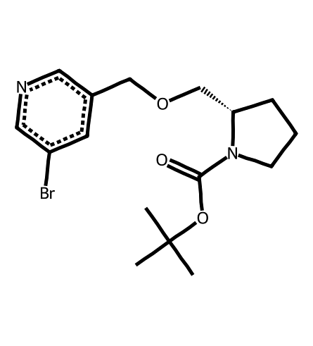 CC(C)(C)OC(=O)N1CCC[C@H]1COCc1cncc(Br)c1